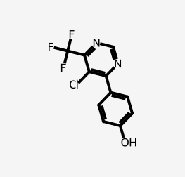 Oc1ccc(-c2ncnc(C(F)(F)F)c2Cl)cc1